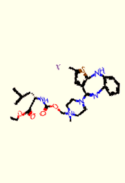 CCOC(=O)[C@H](CC(C)C)NC(=O)OC[N+]1(C)CCN(C2=Nc3ccccc3Nc3sc(C)cc32)CC1.[I-]